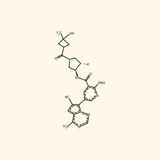 COc1ncc(-c2c(C#N)cc3c(N)ncnn23)cc1C(=O)N[C@H]1CN(C(=O)C2CC(O)(C(F)(F)F)C2)C[C@@H]1F